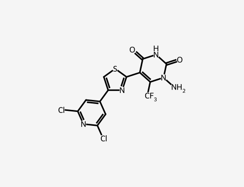 Nn1c(C(F)(F)F)c(-c2nc(-c3cc(Cl)nc(Cl)c3)cs2)c(=O)[nH]c1=O